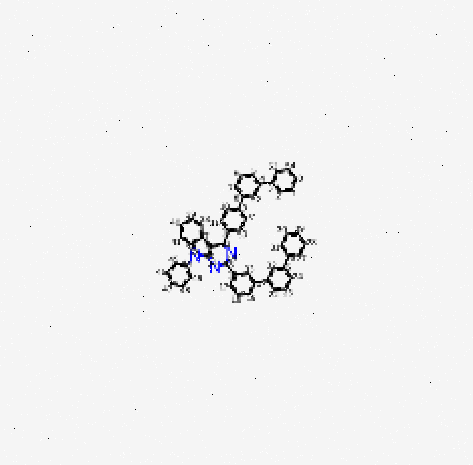 c1ccc(-c2cccc(-c3ccc(-c4nc(-c5cccc(-c6cccc(-c7ccccc7)c6)c5)nc5c4c4ccccc4n5-c4ccccc4)cc3)c2)cc1